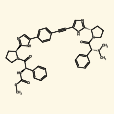 COC(=O)N[C@@H](C(=O)N1CCC[C@H]1c1ncc(-c2ccc(C#Cc3cnc([C@@H]4CCCN4C(=O)[C@@H](c4ccccc4)N(C)C)[nH]3)cc2)[nH]1)c1ccccc1